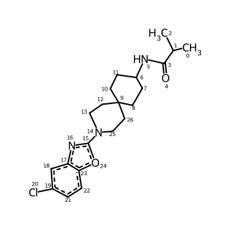 CC(C)C(=O)NC1CCC2(CC1)CCN(c1nc3cc(Cl)ccc3o1)CC2